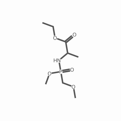 CCOC(=O)C(C)NP(=O)(COC)OC